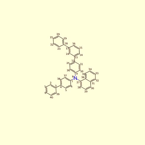 c1ccc(-c2ccc(N(c3ccc(-c4cccc(-c5ccccc5)c4)cc3)c3cccc4ccccc34)cc2)cc1